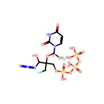 C[C@@H](OC(CF)(COP(=O)(O)OP(=O)(O)OP(=O)(O)O)C(O)N=[N+]=[N-])n1ccc(=O)[nH]c1=O